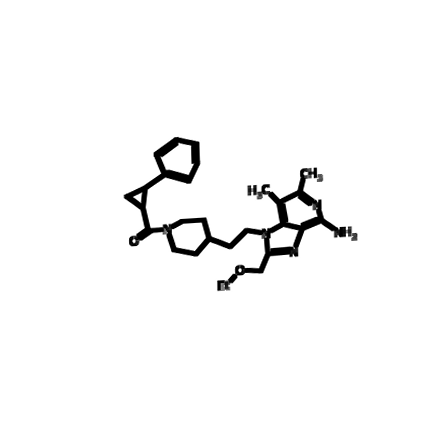 CCOCc1nc2c(N)nc(C)c(C)c2n1CCC1CCN(C(=O)C2CC2c2ccccc2)CC1